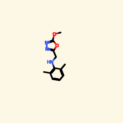 COc1nnc(CNc2c(C)cccc2C)o1